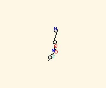 Cc1ccc(/C=C/c2nc(COc3ccc(CCCCc4ccncc4)cc3)co2)c(F)c1